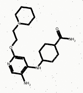 NC(=O)C1CCC(Nc2cc(OCCN3CCCCC3)ncc2N)CC1